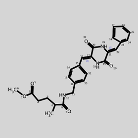 COC(=O)CCC(C)C(=O)NCc1ccc(/C=c2\[nH]c(=O)/c(=C/c3ccccc3)[nH]c2=O)cc1